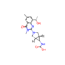 Cc1cc(C(C)O)c2nc(N3C[C@@H]4C(NC(=O)O)[C@@H]4C3)n(C)c(=O)c2c1